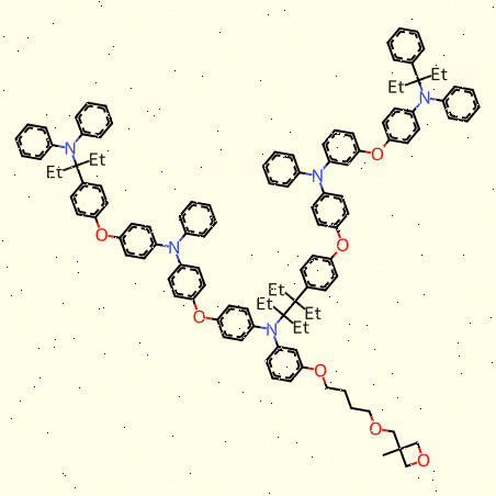 CCC(CC)(c1ccccc1)N(c1ccccc1)c1ccc(Oc2cccc(N(c3ccccc3)c3ccc(Oc4ccc(C(CC)(CC)C(CC)(CC)N(c5ccc(Oc6ccc(N(c7ccccc7)c7ccc(Oc8ccc(C(CC)(CC)N(c9ccccc9)c9ccccc9)cc8)cc7)cc6)cc5)c5cccc(OCCCCOCC6(C)COC6)c5)cc4)cc3)c2)cc1